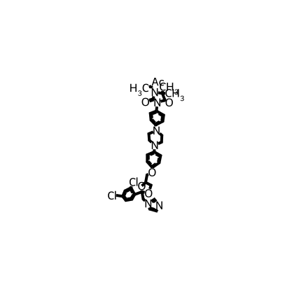 CC(=O)C(C)N1C(=O)N(c2ccc(N3CCN(c4ccc(OCC5COC(Cn6ccnc6)(c6ccc(Cl)cc6Cl)O5)cc4)CC3)cc2)C(=O)C1(C)C